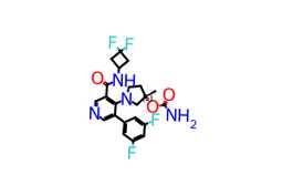 C[C@]1(OC(N)=O)CCN(c2c(C(=O)NC3CC(F)(F)C3)cncc2-c2cc(F)cc(F)c2)C1